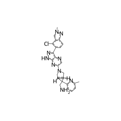 Cc1cccc(C2(CN)[C@@H]3CN(c4cnc5c(-c6ccc7nn(C)cc7c6Cl)n[nH]c5n4)C[C@@H]32)n1